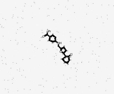 CCCC(=O)c1ccc(NCc2ccc(-c3ccccc3Cl)o2)cc1